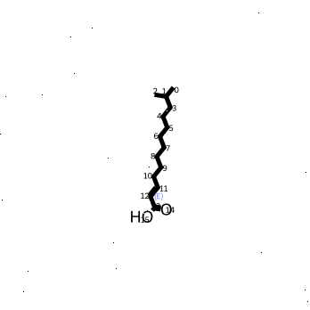 CC(C)CCCCCCCC/C=C/C(=O)O